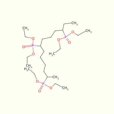 CCOP(=O)(OCC)C(C)CCCCC(CCCC(CC)P(=O)(OCC)OCC)P(=O)(OCC)OCC